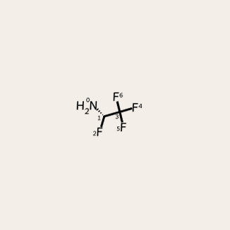 N[C@@H](F)C(F)(F)F